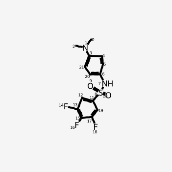 CN(C)c1ccc(NS(=O)(=O)c2cc(F)c(F)c(F)c2)cc1